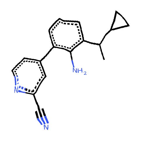 CC(c1cccc(-c2ccnc(C#N)c2)c1N)C1CC1